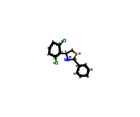 Clc1cccc(Cl)c1C1CSC(c2cc[c]cc2)N1